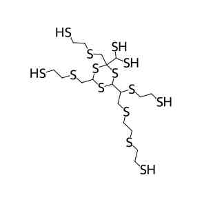 SCCSCCSCC(SCCS)C1SC(CSCCS)SC(CSCCS)(C(S)S)S1